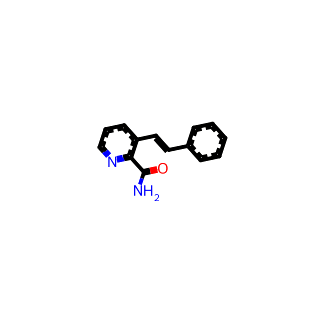 NC(=O)c1ncccc1C=Cc1ccccc1